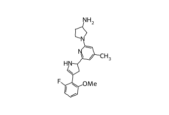 COc1cccc(F)c1C1=CNC(c2cc(C)cc(N3CCC(N)C3)n2)C1